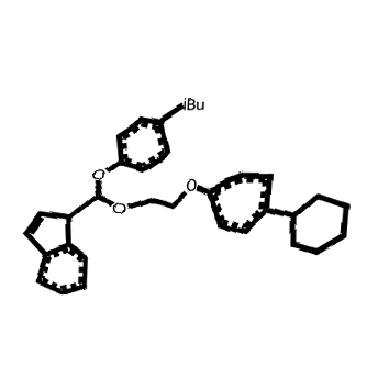 CCC(C)c1ccc(OC(OCCOc2ccc(C3CCCCC3)cc2)C2C=Cc3ccccc32)cc1